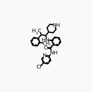 Cc1ccccc1C(C)C(Nc1ccccc1C(=O)Nc1ccc(Cl)cn1)C1CCNCC1